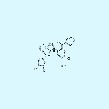 C[C@@]1(C(=O)Nc2ccc(Cl)cc2C(=O)c2ccccc2)CC=CN1Cc1ccc(Cl)c(Cl)c1.[Ni+2]